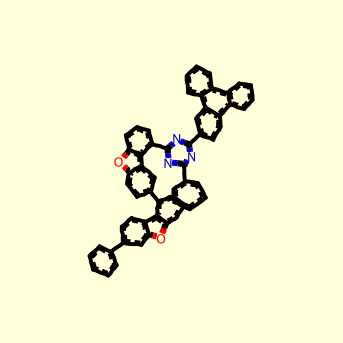 c1ccc(-c2ccc3c(c2)oc2cccc(-c4ccc5oc6cccc(-c7nc(-c8ccccc8)nc(-c8ccc9c%10ccccc%10c%10ccccc%10c9c8)n7)c6c5c4)c23)cc1